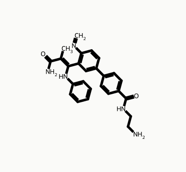 C=Nc1ccc(-c2ccc(C(=O)NCCN)cc2)cc1/C(Nc1ccccc1)=C(\C)C(N)=O